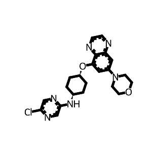 Clc1cnc(N[C@H]2CC[C@@H](Oc3cc(N4CCOCC4)cc4nccnc34)CC2)cn1